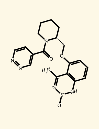 NC1=N[S+]([O-])Nc2cccc(OC[C@H]3CCCCN3C(=O)c3ccnnc3)c21